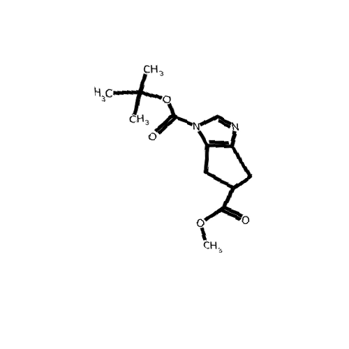 COC(=O)C1Cc2ncn(C(=O)OC(C)(C)C)c2C1